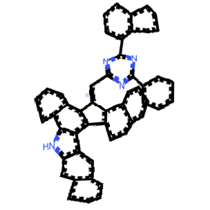 C(=C1/c2c(ccc3ccccc23)-c2c1c1ccccc1c1[nH]c3cc4ccccc4cc3c21)/c1nc(-c2ccccc2)nc(-c2cccc3ccccc23)n1